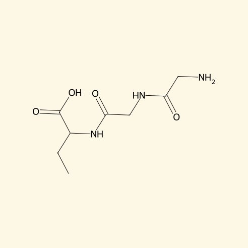 CCC(NC(=O)CNC(=O)CN)C(=O)O